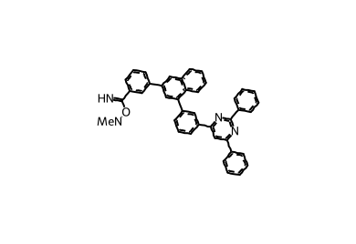 CNOC(=N)c1cccc(-c2cc(-c3cccc(-c4cc(-c5ccccc5)nc(-c5ccccc5)n4)c3)c3ccccc3c2)c1